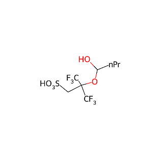 CCCC(O)OC(CS(=O)(=O)O)(C(F)(F)F)C(F)(F)F